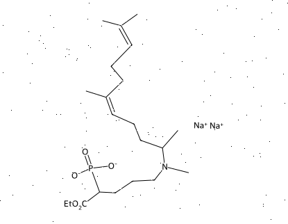 CCOC(=O)C(CCCN(C)C(C)CCC=C(C)CCC=C(C)C)P(=O)([O-])[O-].[Na+].[Na+]